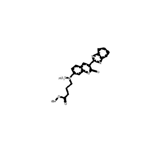 CC(C)(C)OC(=O)CCCN(c1ccc2cc(-c3nc4ccccc4s3)c(=O)oc2c1)S(=O)(=O)O